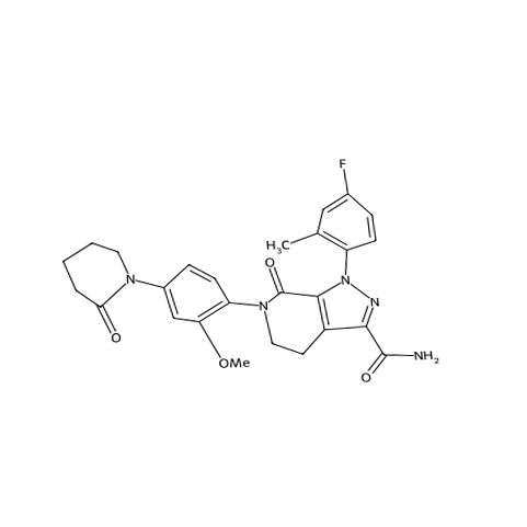 COc1cc(N2CCCCC2=O)ccc1N1CCc2c(C(N)=O)nn(-c3ccc(F)cc3C)c2C1=O